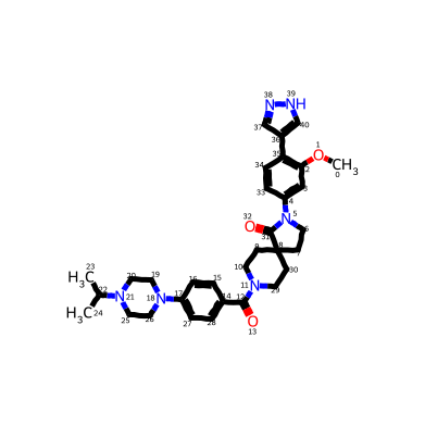 COc1cc(N2CCC3(CCN(C(=O)c4ccc(N5CCN(C(C)C)CC5)cc4)CC3)C2=O)ccc1-c1cn[nH]c1